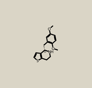 COc1ccc(OC)c(C[C@@H]2NCCc3sccc32)c1